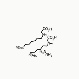 CCCCCCCCCCCCCCCCN(C)CC(=O)O.CCCCCCCCCCCCCCCCN(C)CC(=O)O.N.N